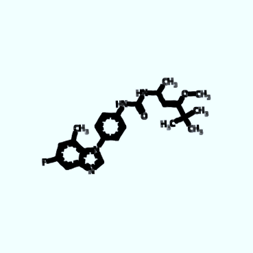 CO/C(=C\C(C)NC(=O)Nc1ccc(-n2cnc3cc(F)cc(C)c32)cc1)C(C)(C)C